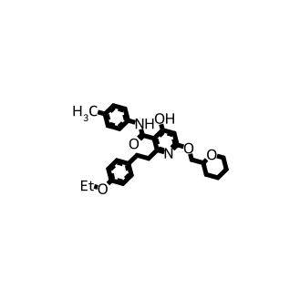 CCOc1ccc(CCc2nc(OCC3CCCCO3)cc(O)c2C(=O)Nc2ccc(C)cc2)cc1